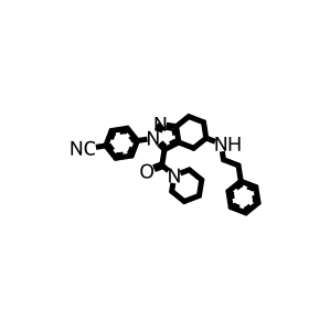 N#Cc1ccc(-n2nc3c(c2C(=O)N2CCCCC2)CC(NCCc2ccccc2)CC3)cc1